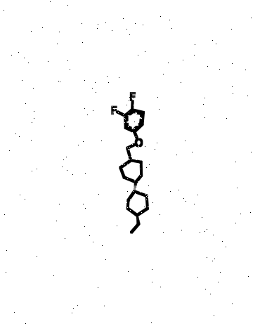 CC[C@H]1CC[C@H](C2CCC(COc3ccc(F)c(F)c3)CC2)CC1